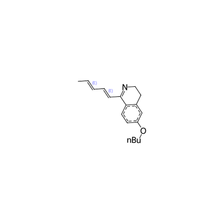 C/C=C/C=C/C1=NCCc2cc(OCCCC)ccc21